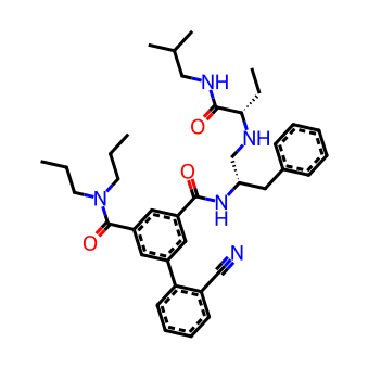 CCCN(CCC)C(=O)c1cc(C(=O)N[C@H](CN[C@@H](CC)C(=O)NCC(C)C)Cc2ccccc2)cc(-c2ccccc2C#N)c1